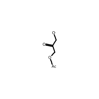 CC(=O)OCC(=O)C[O]